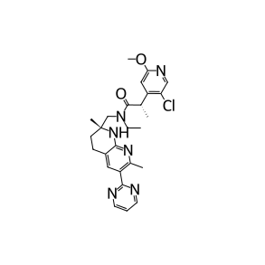 CCN(C[C@@]1(C)CCc2cc(-c3ncccn3)c(C)nc2N1)C(=O)[C@@H](C)c1cc(OC)ncc1Cl